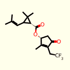 CC(C)=CC1[C@@H](C(=O)O[C@@H]2CC(=O)C(CC(F)(F)F)=C2C)C1(C)C